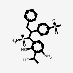 CC(O)c1c(N)ccc(C(C(Cc2ccccc2)c2ccc(S(C)(=O)=O)cc2)S(N)(=O)=O)c1O